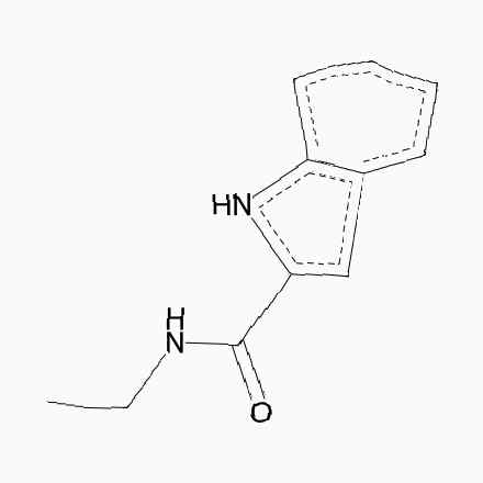 CCNC(=O)c1cc2ccccc2[nH]1